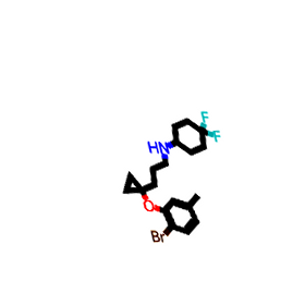 Cc1ccc(Br)c(OC2(CCCNC3CCC(F)(F)CC3)CC2)c1